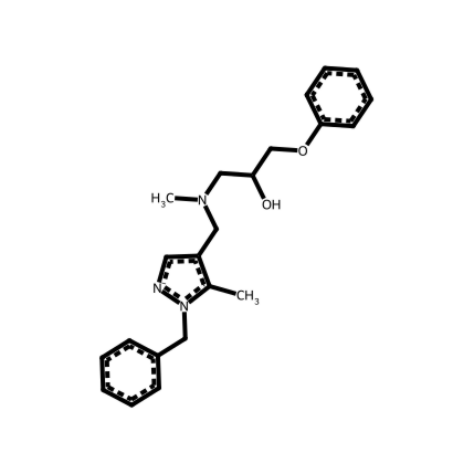 Cc1c(CN(C)CC(O)COc2ccccc2)cnn1Cc1ccccc1